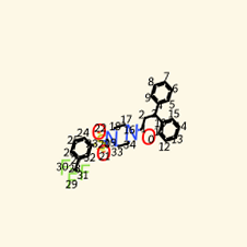 O=C(CC(c1ccccc1)c1ccccc1)N1CCN(S(=O)(=O)c2cccc(C(F)(F)F)c2)CC1